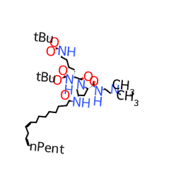 CCCCC/C=C\C/C=C\CCCCCCCC(=O)N[C@H]1C[C@@H](C(=O)NCCN(C)C)N(C(=O)[C@@H](CCCCNC(=O)OC(C)(C)C)NC(=O)OC(C)(C)C)C1